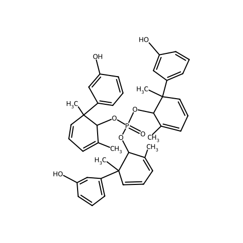 CC1=CC=CC(C)(c2cccc(O)c2)C1OP(=O)(OC1C(C)=CC=CC1(C)c1cccc(O)c1)OC1C(C)=CC=CC1(C)c1cccc(O)c1